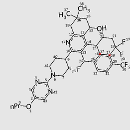 CCCOc1cnc(N2CCC(c3nc4c(c(C5CCC(F)(F)CC5)c3C(F)c3ccc(C(F)(F)F)cc3)C(O)CC(C)(C)C4)CC2)nc1